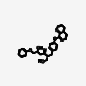 OC[C@H](Cc1ccc(Oc2nccc3cccnc23)cc1)NCC(O)COc1ccccc1